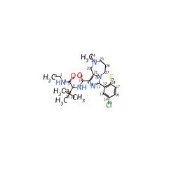 CCNC(=O)C(NC(=O)c1nc(-c2cc(Cl)ccc2F)n2c1CN(C)CCC2)C(C)(C)C